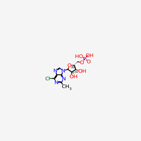 Cc1nc(Cl)c2ncn(C3O[C@H](COP(=O)(O)O)[C@@H](O)[C@H]3O)c2n1